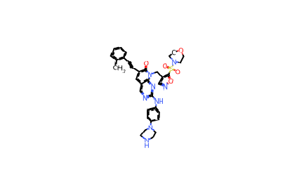 Cc1ccccc1C#Cc1cc2cnc(Nc3ccc(N4CCNCC4)cc3)nc2n(Cc2cnoc2S(=O)(=O)N2CCOCC2)c1=O